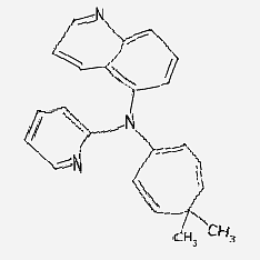 CC1(C)C=CC=C(N(c2ccccn2)c2cccc3ncccc23)C=C1